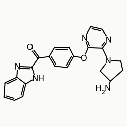 NC1CCN(c2nccnc2Oc2ccc(C(=O)c3nc4ccccc4[nH]3)cc2)C1